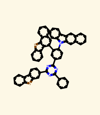 c1ccc(-c2nc(-c3ccc(-n4c5ccccc5c5cc6ccccc6cc54)c(-c4cc5ccccc5c5sc6ccccc6c45)c3)nc(-c3ccc4c(c3)sc3ccccc34)n2)cc1